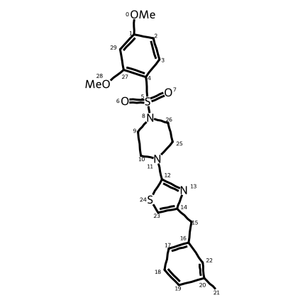 COc1ccc(S(=O)(=O)N2CCN(c3nc(Cc4cccc(C)c4)cs3)CC2)c(OC)c1